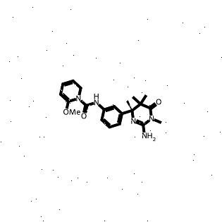 COC1=CC=CCN1C(=O)Nc1cccc([C@@]2(C)N=C(N)N(C)C(=O)C2(C)C)c1